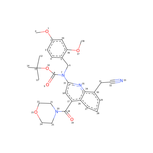 COc1ccc(CN(C(=O)OC(C)(C)C)c2cc(C(=O)N3CCOCC3)c3cccc(CC#N)c3n2)c(OC)c1